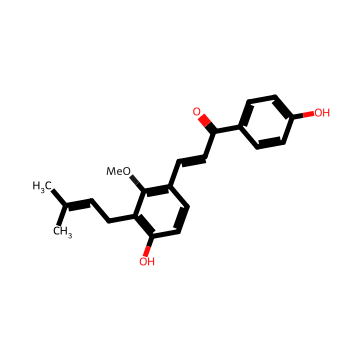 COc1c(C=CC(=O)c2ccc(O)cc2)ccc(O)c1CC=C(C)C